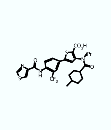 CC1CCC(C(=O)N(c2cc(-c3ccc(NC(=O)c4cscn4)c(C(F)(F)F)c3)sc2C(=O)O)C(C)C)CC1